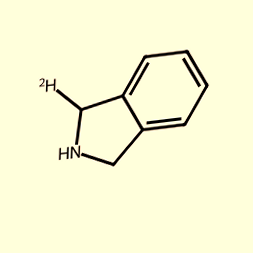 [2H]C1NCc2ccccc21